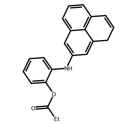 CCC(=O)Oc1ccccc1Nc1cc2c3c(cccc3c1)C=CC2